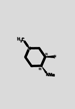 CN[C@@H]1CCN(C)C[C@H]1F